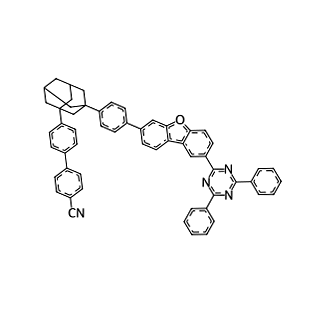 N#Cc1ccc(-c2ccc(C34CC5CC(C3)CC(c3ccc(-c6ccc7c(c6)oc6ccc(-c8nc(-c9ccccc9)nc(-c9ccccc9)n8)cc67)cc3)(C5)C4)cc2)cc1